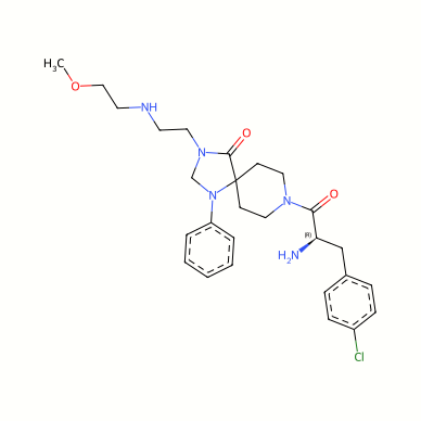 COCCNCCN1CN(c2ccccc2)C2(CCN(C(=O)[C@H](N)Cc3ccc(Cl)cc3)CC2)C1=O